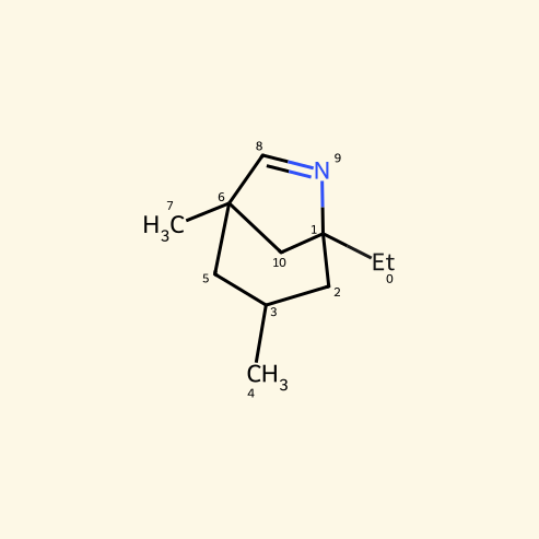 CCC12CC(C)CC(C)(C=N1)C2